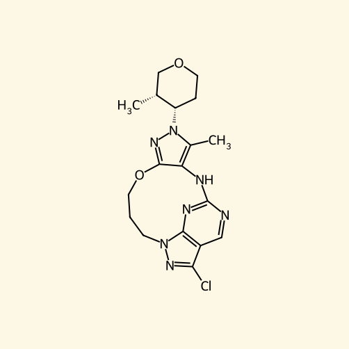 Cc1c2c(nn1[C@H]1CCOC[C@H]1C)OCCCn1nc(Cl)c3cnc(nc31)N2